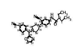 CCC(CC)C(=O)Nc1ccc(N2CCN(C(c3ccc(C#N)cc3)c3ncco3)CC2)c(C#N)c1